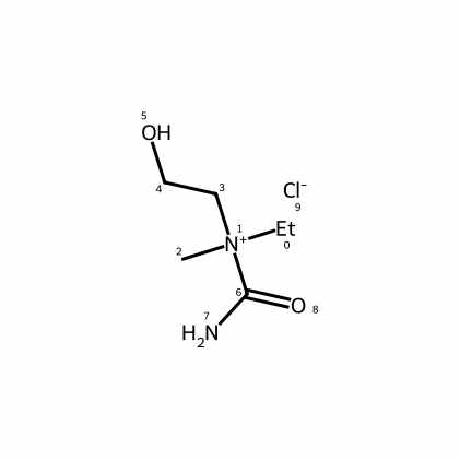 CC[N+](C)(CCO)C(N)=O.[Cl-]